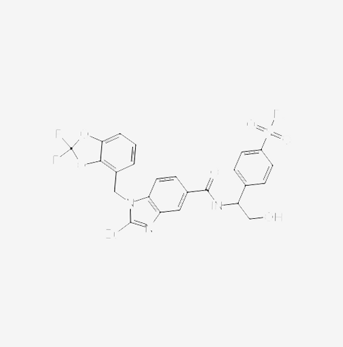 CCc1nc2cc(C(=O)NC(CO)c3ccc(S(=O)(=O)CC)cc3)ccc2n1Cc1cccc2c1OC(F)(F)O2